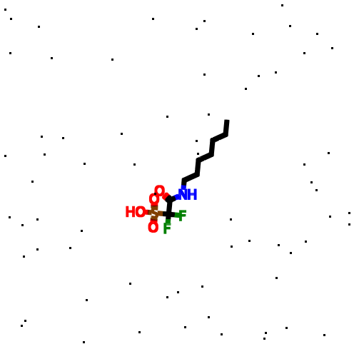 CCCCCCCNC(=O)C(F)(F)S(=O)(=O)O